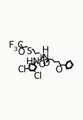 O=C(CCCC(=O)c1ccccc1)N[C@@H](CCCSCC(=O)C(F)(F)F)C(=O)Nc1cc(Cl)cc(Cl)c1